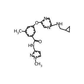 Cc1cc(Oc2cnc(NCC3CC3)cn2)cc(C(=O)Nc2ccn(C)n2)c1